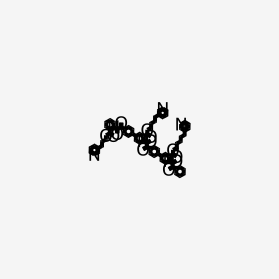 O=C(C(=O)N1CCCCC1C(=O)OCCCc1cccnc1)C1CCC(C2CCN(C(=O)C(=O)C3CCC(C4CCN(C(=O)C(=O)C5CCCCC5)C(C(=O)OCCCCCc5cccnc5)C4)CC3)C(C(=O)OCCCCc3cccnc3)C2)CC1